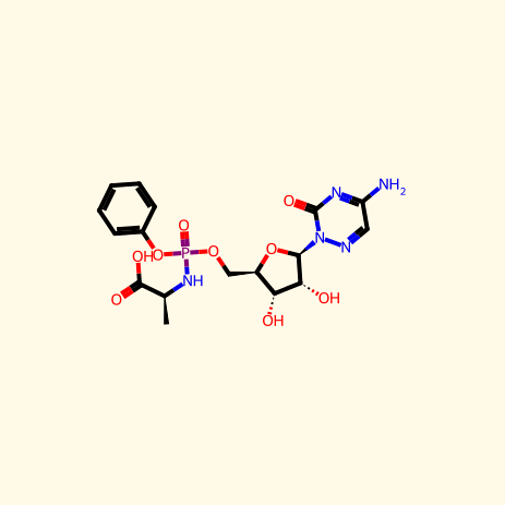 C[C@H](NP(=O)(OC[C@H]1O[C@@H](n2ncc(N)nc2=O)[C@H](O)[C@@H]1O)Oc1ccccc1)C(=O)O